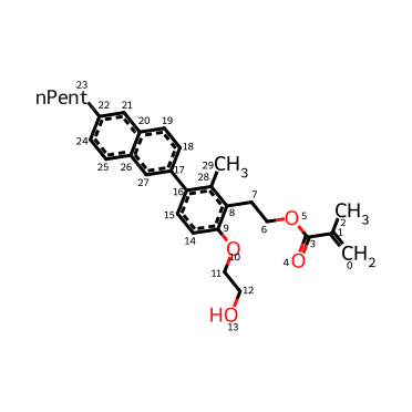 C=C(C)C(=O)OCCc1c(OCCO)ccc(-c2ccc3cc(CCCCC)ccc3c2)c1C